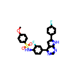 COc1ccc(S(=O)(=O)Nc2ccc(-c3ncnc4[nH]c(-c5ccc(F)cc5)cc34)cc2F)cc1